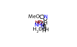 C=C[C@H]1C[N@]2CC[C@H]1C[C@@H]2[C@@H](O)c1ccnc2ccc(OC)cc12.CCCN